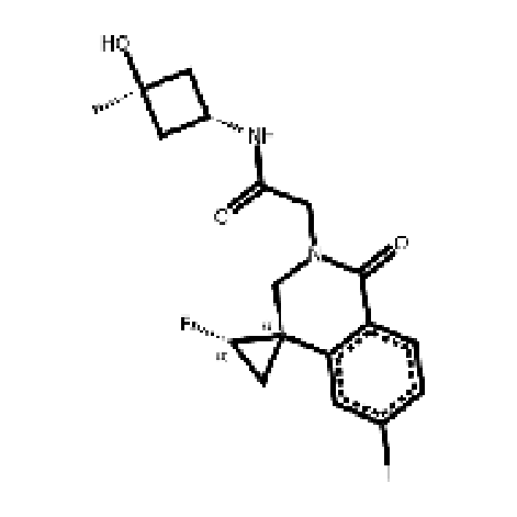 C[C@]1(O)C[C@H](NC(=O)CN2C[C@]3(C[C@@H]3F)c3cc(I)ccc3C2=O)C1